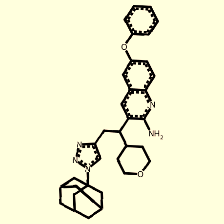 Nc1nc2ccc(Oc3ccccc3)cc2cc1C(Cc1cn(C23CC4CC(CC(C4)C2)C3)nn1)C1CCOCC1